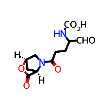 O=CC(CCC(=O)N1C[C@H]2C[C@@H]1C(=O)O2)NC(=O)O